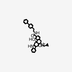 CC12Cc3[nH]c4ccccc4c3C[C@@]1(O)[C@H]([N+](C)(C)CC1CC1)Cc1ccc(C(=O)NCCc3ccc(-c4ccccc4)cc3)c(O)c12